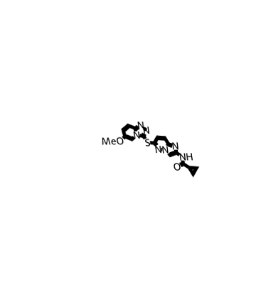 COc1ccc2nnc(Sc3ccc4nc(NC(=O)C5CC5)cn4n3)n2c1